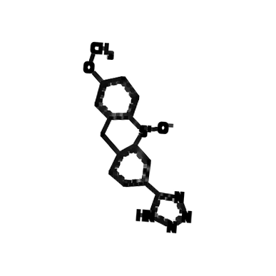 COc1ccc2c(c1)Cc1ccc(-c3nnn[nH]3)cc1[S+]2[O-]